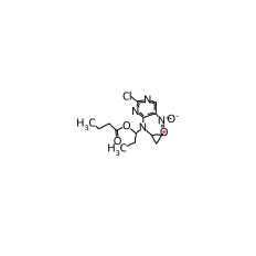 CCCC(=O)OC(CC)N(c1nc(Cl)ncc1[N+](=O)[O-])C1CC1